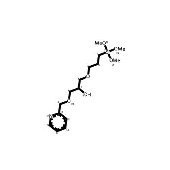 CO[Si](CCCOCC(O)COCc1ccccn1)(OC)OC